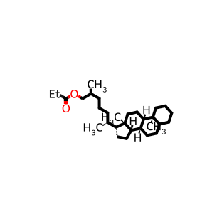 CCC(=O)OCC(C)CCC[C@@H](C)[C@H]1CC[C@H]2[C@@H]3CCC4CCCC[C@]4(C)[C@H]3CC[C@]12C